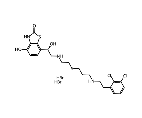 Br.Br.O=c1[nH]c2c(O)ccc([C@@H](O)CNCCSCCCNCCc3cccc(Cl)c3Cl)c2s1